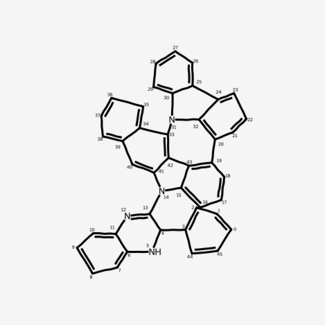 c1ccc(C2Nc3ccccc3N=C2n2c3cccc4c5cccc6c7ccccc7n(c56)c5c6ccccc6cc2c5c43)cc1